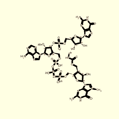 CCCNC(=O)OC[C@H]1[C@@H](O)[C@H](n2c[n+](C)c3c(=O)[nH]c(N)nc32)O[C@@H]1COP(=O)(O)OP(=O)(O)OP(=O)(O)OC[C@H]1O[C@@H](n2cnc3c(N)ncnc32)[C@H](OC)[C@@H]1OP(=O)([O-])OC[C@H]1O[C@@H](n2cnc3c(=O)[nH]c(N)nc32)[C@H](O)[C@@H]1O